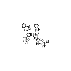 CCNC(=O)[C@@H](NC(=O)[C@H](C)NC[C@H](Cc1nc2ccccc2s1)NC(=O)c1cc(C(=O)N[C@H](C)c2ccccc2)cc(N(C)S(=O)(=O)N(C)C)c1)C(C)C